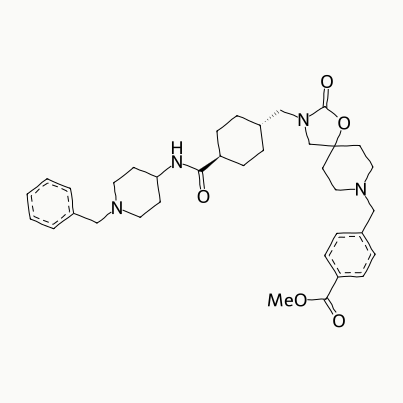 COC(=O)c1ccc(CN2CCC3(CC2)CN(C[C@H]2CC[C@H](C(=O)NC4CCN(Cc5ccccc5)CC4)CC2)C(=O)O3)cc1